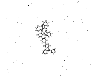 c1ccc(-n2c3ccccc3c3cc(-c4ccc(-c5ccc6c(c5)C5(c7ccccc7-6)c6ccc7ccccc7c6Oc6c5ccc5ccccc65)cc4)ccc32)cc1